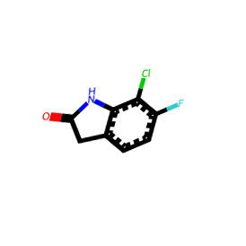 O=C1Cc2ccc(F)c(Cl)c2N1